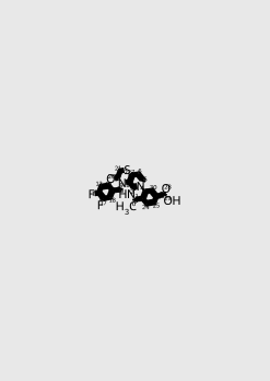 CC(Nc1nccc2c1N(Cc1ccc(F)c(F)c1)C(=O)CS2)c1ccc(C(=O)O)cc1